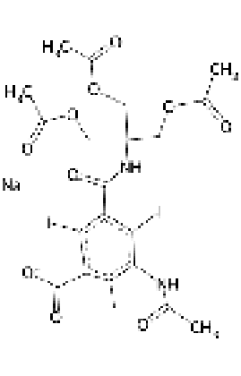 CC(=O)Nc1c(I)c(C(=O)[O-])c(I)c(C(=O)NC(COC(C)=O)(COC(C)=O)COC(C)=O)c1I.[Na+]